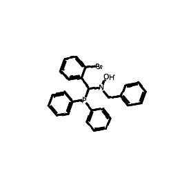 ON(Cc1ccccc1)C(c1ccccc1Br)P(c1ccccc1)c1ccccc1